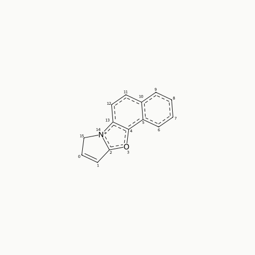 C1=Cc2oc3c4ccccc4ccc3[n+]2C1